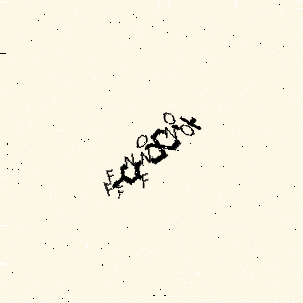 CC(C)(C)OC(=O)N1CCC2(CC1)CCN(c1ncc(C(F)(F)F)cc1F)C2=O